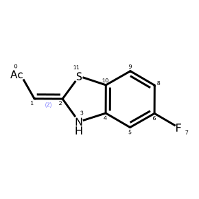 CC(=O)/C=C1/Nc2cc(F)ccc2S1